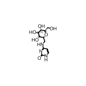 O=c1nc(NCC2O[C@H](CO)[C@@H](O)[C@H](O)[C@H]2O)cc[nH]1